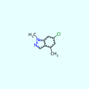 Cc1cc(Cl)cc2c1cnn2C